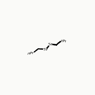 CCCC[Te][Te]CCCC